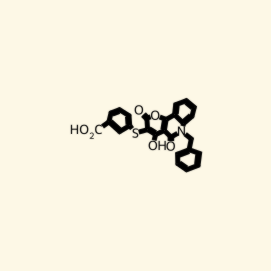 O=C(O)c1cccc(Sc2c(O)c3c(=O)n(Cc4ccccc4)c4ccccc4c3oc2=O)c1